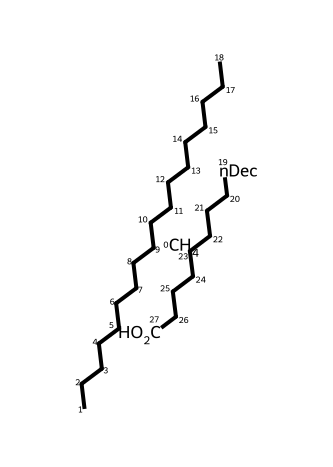 C.CCCCCCCCCCCCCCCCCC.CCCCCCCCCCCCCCCCCC(=O)O